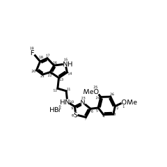 Br.COc1ccc(-c2csc(NCCc3c[nH]c4cc(F)ccc34)n2)c(OC)c1